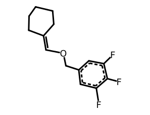 Fc1cc(COC=C2CCCCC2)cc(F)c1F